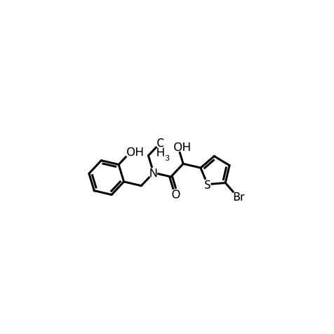 CCN(Cc1ccccc1O)C(=O)C(O)c1ccc(Br)s1